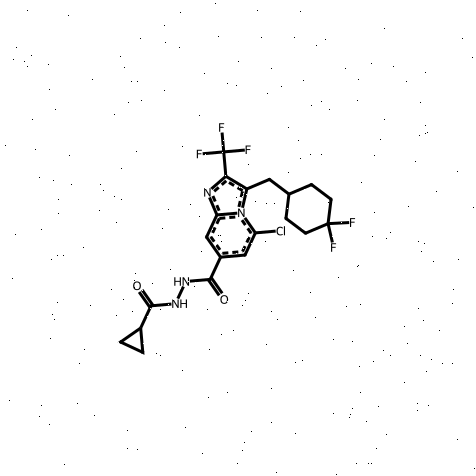 O=C(NNC(=O)C1CC1)c1cc(Cl)n2c(CC3CCC(F)(F)CC3)c(C(F)(F)F)nc2c1